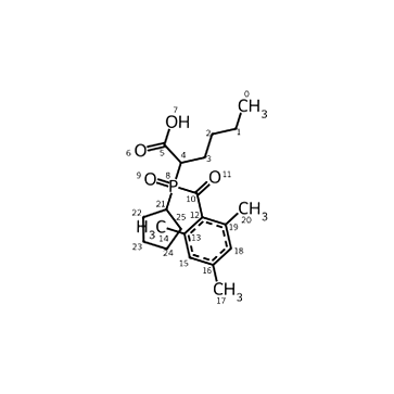 CCCCC(C(=O)O)P(=O)(C(=O)c1c(C)cc(C)cc1C)C1CCCC1